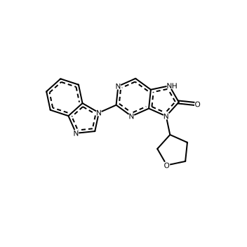 O=c1[nH]c2cnc(-n3cnc4ccccc43)nc2n1C1CCOC1